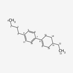 CCCCc1ccc(C2=CCC(CC)CC2)cc1